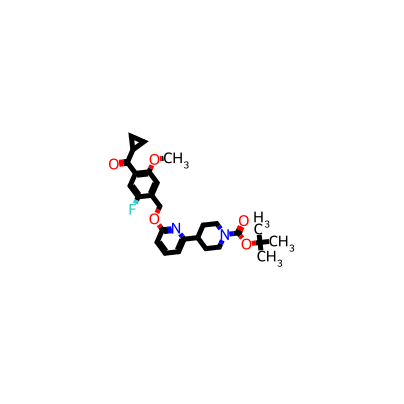 COc1cc(COc2cccc(C3CCN(C(=O)OC(C)(C)C)CC3)n2)c(F)cc1C(=O)C1CC1